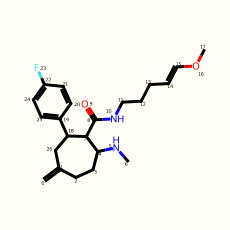 C=C1CCC(NC)C(C(=O)NCCC/C=C/OC)C(c2ccc(F)cc2)C1